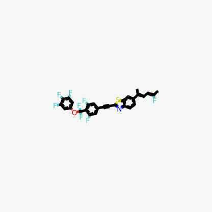 C/C(F)=C/C=C(\C)c1ccc2nc(C#Cc3cc(F)c(C(F)(F)Oc4cc(F)c(F)c(F)c4)c(F)c3)sc2c1